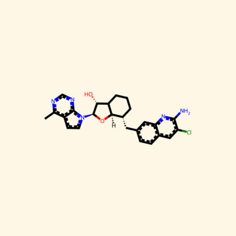 Cc1ncnc2c1ccn2[C@@H]1O[C@H]2C(CCC[C@@H]2Cc2ccc3cc(Cl)c(N)nc3c2)[C@H]1O